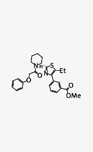 CCc1sc([C@H]2CCCCN2C(=O)COc2ccccc2)nc1-c1cccc(C(=O)OC)c1